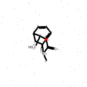 CCC12CC3C=CC(=C(C(=O)N1C)C3C(=O)O)O2